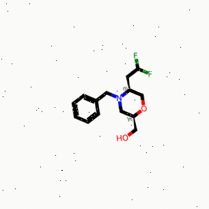 OC[C@H]1CN(Cc2ccccc2)[C@@H](CC(F)F)CO1